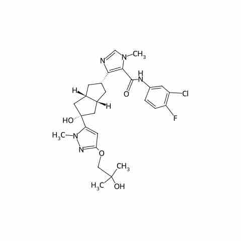 Cn1cnc([C@@H]2C[C@@H]3C[C@@](O)(c4cc(OCC(C)(C)O)nn4C)C[C@@H]3C2)c1C(=O)Nc1ccc(F)c(Cl)c1